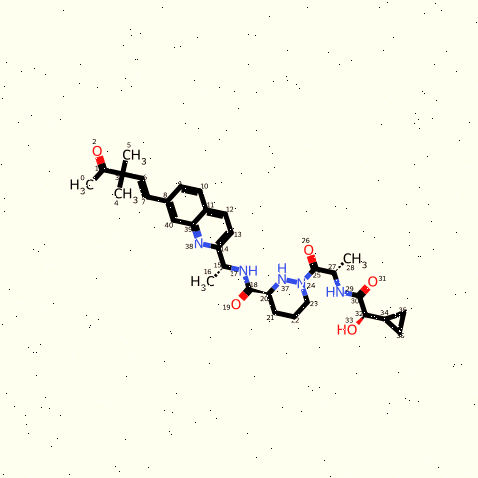 CC(=O)C(C)(C)/C=C/c1ccc2ccc([C@@H](C)NC(=O)[C@@H]3CCCN(C(=O)[C@H](C)NC(=O)[C@H](O)C4CC4)N3)nc2c1